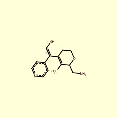 CC1=C(/C(=C\S)c2ccncc2)CCOC1CN